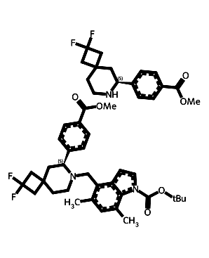 COC(=O)c1ccc([C@@H]2CC3(CCN2)CC(F)(F)C3)cc1.COC(=O)c1ccc([C@@H]2CC3(CCN2Cc2c(C)cc(C)c4c2ccn4C(=O)OC(C)(C)C)CC(F)(F)C3)cc1